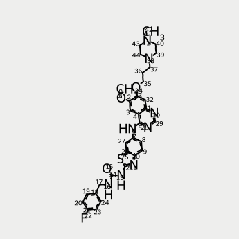 COc1cc2c(Nc3ccc4nc(NC(=O)NCc5ccc(F)cc5)sc4c3)ncnc2cc1OCCCN1CCN(C)CC1